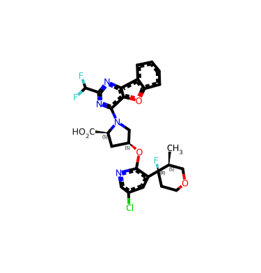 C[C@H]1COCC[C@]1(F)c1cc(Cl)cnc1O[C@H]1C[C@@H](C(=O)O)N(c2nc(C(F)F)nc3c2oc2ccccc23)C1